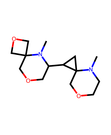 CN1C(C2CC23COCCN3C)COCC12COC2